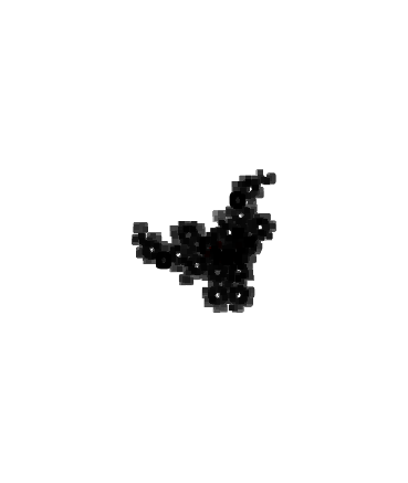 C=Cc1ccc(Oc2ccc(C3(c4cc(C)ccc4C)c4ccccc4-c4ccc(N(c5ccc(F)c(F)c5)c5ccc6c(c5)C5(c7ccccc7-6)c6ccccc6-c6ccc(N(c7ccc(F)c(F)c7)c7ccc8c(c7)C(c7ccc(Oc9ccc(C=C)cc9)cc7)(c7cc(C)ccc7C)c7ccccc7-8)cc65)cc43)cc2)cc1